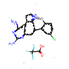 COc1ccc(Cl)cc1-c1cc2nc(N)nc(N)c2c2cc[nH]c12.O=C(O)C(F)(F)F